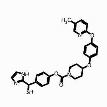 Cc1ccc(Oc2ccc(OC3CCN(C(=O)Oc4ccc(C(S)c5ncc[nH]5)cc4)CC3)cc2)nc1